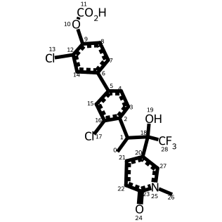 CC(c1ccc(-c2ccc(OC(=O)O)c(Cl)c2)cc1Cl)C(O)(c1ccc(=O)n(C)c1)C(F)(F)F